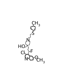 COc1ccc2ncc(Cl)c(C(F)CCC3(CO)CCN(CCCSc4ccc(C)cc4)CC3)c2c1